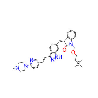 CN1CCN(c2ccc(C=Cc3n[nH]c4cc(C=C5C(=O)N(COCC[Si](C)(C)C)c6ccccc65)ccc34)cn2)CC1